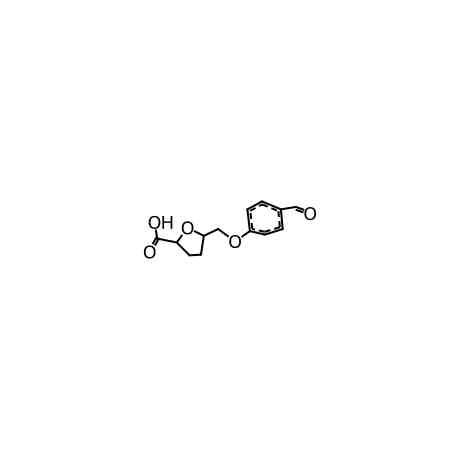 O=Cc1ccc(OCC2CCC(C(=O)O)O2)cc1